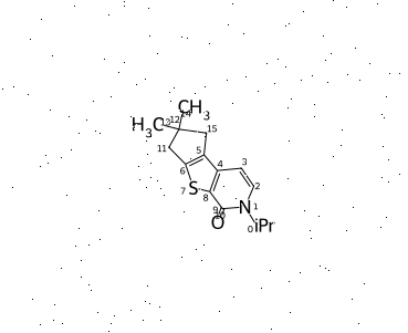 CC(C)n1ccc2c3c(sc2c1=O)CC(C)(C)C3